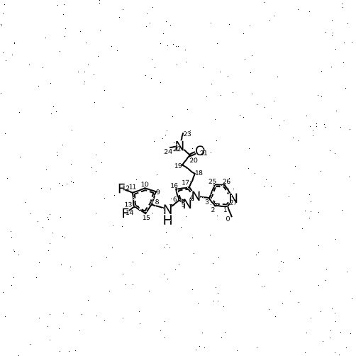 Cc1cc(-n2nc(Nc3ccc(F)c(F)c3)cc2CCC(=O)N(C)C)ccn1